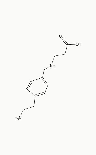 CCCc1ccc(CNCCC(=O)O)cc1